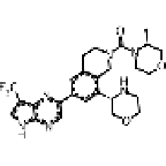 C[C@H]1COCCN1C(=O)N1CCc2cc(-c3cnc4[nH]cc(C(F)(F)F)c4n3)cc([C@@H]3COCCN3)c2C1